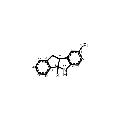 CC(C)c1ccc2c(c1)C1Cc3ccccc3C1(C)N2